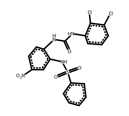 O=C(Nc1ccc([N+](=O)[O-])cc1NS(=O)(=O)c1ccccc1)Nc1cccc(Cl)c1Cl